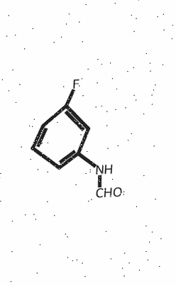 O=[C]Nc1cccc(F)c1